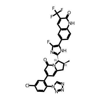 C[C@H]1Cc2cc(-c3cc(Cl)ccc3-n3cnnn3)cc(=O)n2[C@@H]1c1nc(F)c(-c2ccc3[nH]c(=O)c(C(F)(F)F)cc3c2)[nH]1